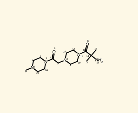 CN1CCN(C(=O)CN2CCN(C(=O)C(C)(C)N)CC2)CC1